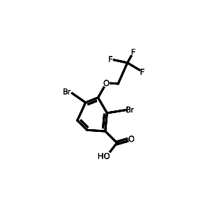 O=C(O)c1ccc(Br)c(OCC(F)(F)F)c1Br